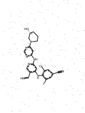 N#Cc1cc(F)c(Nc2cc(Nc3cc(N4CCC[C@@H](O)C4)ncn3)ncc2C=N)c(Cl)c1